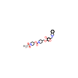 CS(=O)(=O)N1CCC(OC(=O)N2CCC(COc3coc(CN4Cc5ccccc5C4)cc3=O)CC2)CC1